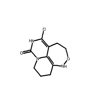 O=C1NC(Cl)=C2CCONC3=C2N1CCC3